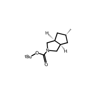 C[C@H]1C[C@@H]2CN(C(=O)OC(C)(C)C)C[C@@H]2C1